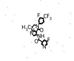 C[C@H]1CN(c2ccc(C(F)(F)F)c(F)c2)C(=O)c2c(NC(=O)c3cncc(F)c3)cnn21